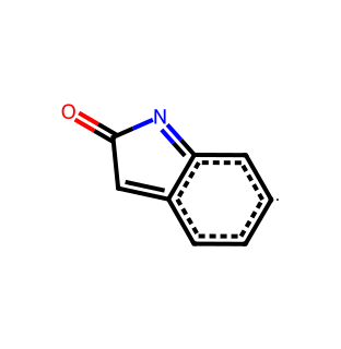 O=C1C=c2cc[c]cc2=N1